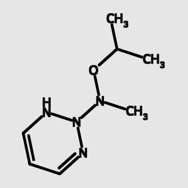 CC(C)ON(C)N1N=CC=CN1